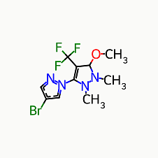 COC1C(C(F)(F)F)=C(n2cc(Br)cn2)N(C)N1C